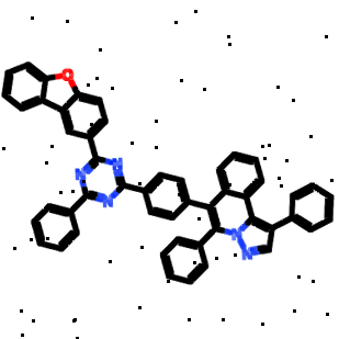 c1ccc(-c2nc(-c3ccc(-c4c(-c5ccccc5)n5ncc(-c6ccccc6)c5c5ccccc45)cc3)nc(-c3ccc4oc5ccccc5c4c3)n2)cc1